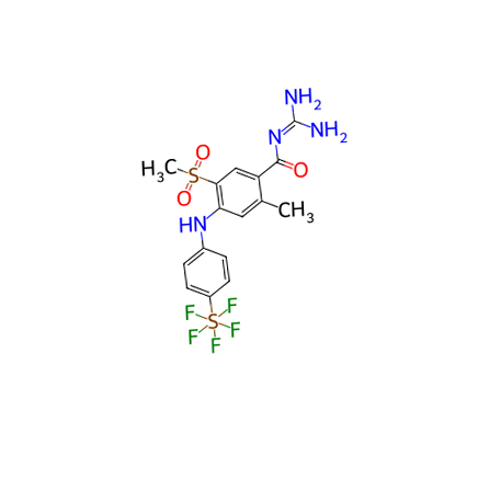 Cc1cc(Nc2ccc(S(F)(F)(F)(F)F)cc2)c(S(C)(=O)=O)cc1C(=O)N=C(N)N